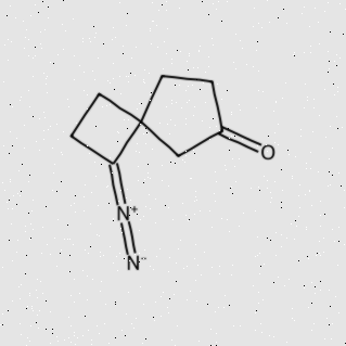 [N-]=[N+]=C1CCC12CCC(=O)C2